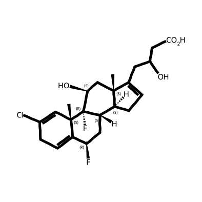 C[C@]12C=C(Cl)CC=C1[C@H](F)C[C@H]1[C@@H]3CC=C(CC(O)CC(=O)O)[C@@]3(C)C[C@H](O)[C@@]12F